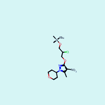 Cc1c([N+](=O)[O-])c(OCC(Cl)CO[Si](C)(C)C(C)(C)C)nn1C1CCOCC1